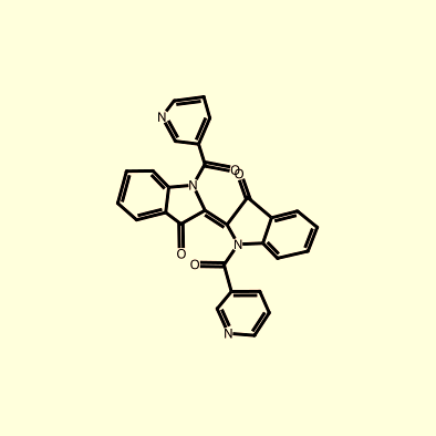 O=C1C(=C2C(=O)c3ccccc3N2C(=O)c2cccnc2)N(C(=O)c2cccnc2)c2ccccc21